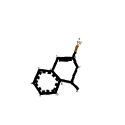 CC1CC(Br)=Cc2ccccc21